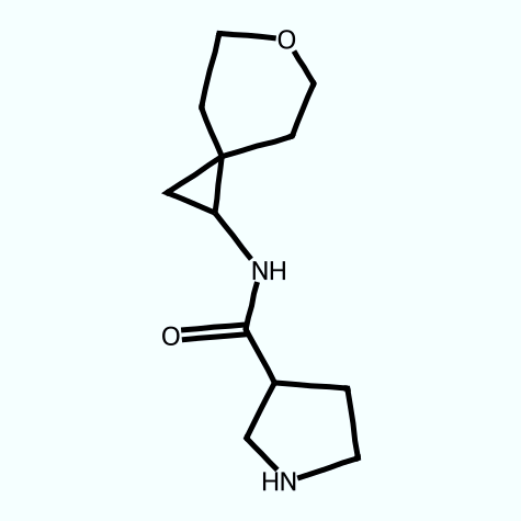 O=C(NC1CC12CCOCC2)C1CCNC1